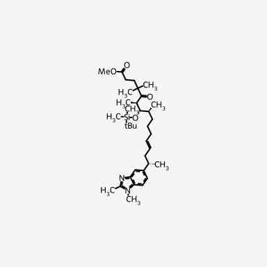 COC(=O)CCC(C)(C)C(=O)[C@H](C)[C@@H](O[Si](C)(C)C(C)(C)C)[C@@H](C)CCC/C=C/C[C@H](C)c1ccc2c(c1)nc(C)n2C